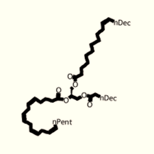 CCCCC/C=C\C/C=C\C/C=C\C/C=C\CCCC(=O)O[C@@H](COC(=O)CCCCCCCCC/C=C\CCCCCCCCCC)COC(=O)CCCCCCCCCCC